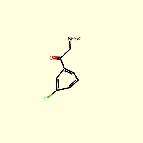 CC(=O)NCC(=O)c1cccc(Cl)c1